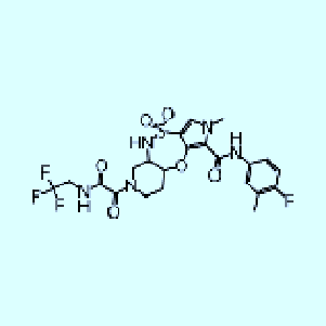 Cc1cc(NC(=O)c2c3c(cn2C)S(=O)(=O)NC2CN(C(=O)C(=O)NCC(F)(F)F)CCC2O3)ccc1F